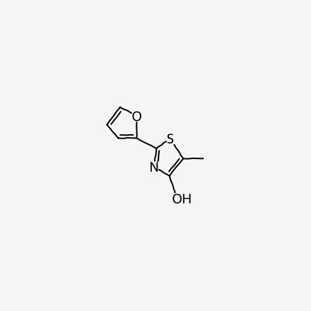 Cc1sc(-c2ccco2)nc1O